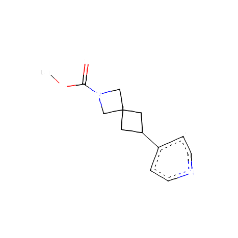 CC(C)(C)OC(=O)N1CC2(CC(c3ccncc3)C2)C1